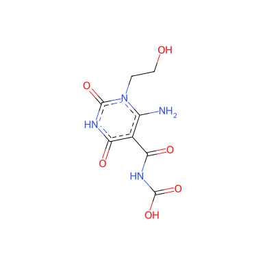 Nc1c(C(=O)NC(=O)O)c(=O)[nH]c(=O)n1CCO